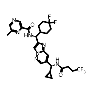 Cc1cncc(C(=O)N[C@H](c2cn3ncc([C@H](NC(=O)CCC(F)(F)F)C4CC4)cc3n2)C2CCC(F)(F)CC2)n1